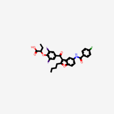 CCCCc1oc2ccc(NC(=O)c3ccc(F)cc3)cc2c1C(=O)c1cc(I)c(OC(CC)C(=O)O)c(I)c1